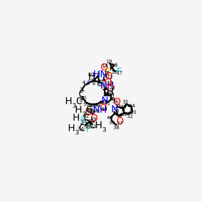 C[C@@H]1CC/C=C\[C@@H]2C[C@@]2(C(=O)NS(=O)(=O)C2(CF)CC2)NC(=O)[C@@H]2C[C@@H](Oc3nc4c(c5ccccc35)OCCC4)CN2C(=O)[C@@H](NC(=O)OC(C)(C)C(C)(F)F)[C@H](C)C1